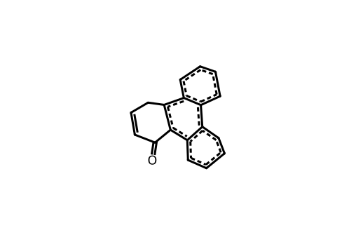 O=C1C=CCc2c1c1ccccc1c1ccccc21